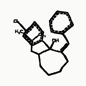 CN(C)CC1CCCC/C(=C/c2ccccc2)C1(O)c1ccc(Cl)cc1